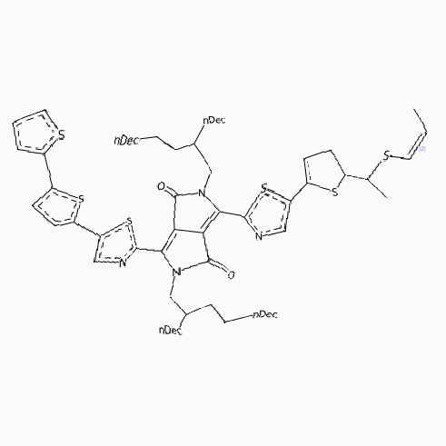 C/C=C\SC(C)C1CC=C(c2cnc(C3=C4C(=O)N(CC(CCCCCCCCCC)CCCCCCCCCCCC)C(c5ncc(-c6ccc(-c7cccs7)s6)s5)=C4C(=O)N3CC(CCCCCCCCCC)CCCCCCCCCCCC)s2)S1